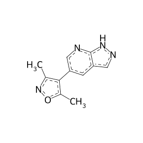 Cc1noc(C)c1-c1cnc2[nH]ncc2c1